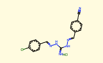 Cl.N#Cc1ccc(C=NNC(=N)NN=Cc2ccc(Cl)cc2)cc1